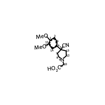 COc1ccc(C2(C#N)CCN(CC(=O)O)CC2)cc1OC